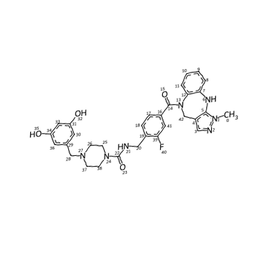 Cn1ncc2c1Nc1ccccc1N(C(=O)c1ccc(CNC(=O)N3CCN(Cc4cc(O)cc(O)c4)CC3)c(F)c1)C2